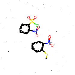 CSc1ccccc1[N+](=O)[O-].O=[N+]([O-])c1ccccc1S(=O)(=O)Cl